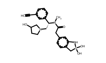 C#Cc1cccc([C@@H](CN2CCC(O)C2)N(C)C(=O)Cc2ccc3c(c2)NS(O)(O)C3)c1